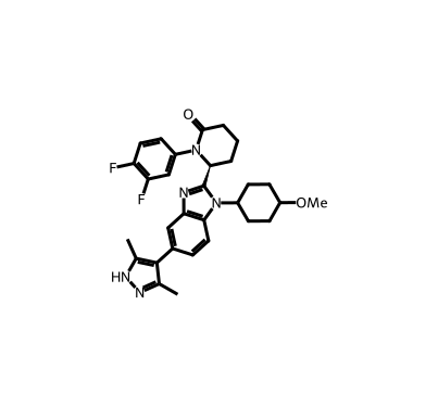 COC1CCC(n2c([C@@H]3CCCC(=O)N3c3ccc(F)c(F)c3)nc3cc(-c4c(C)n[nH]c4C)ccc32)CC1